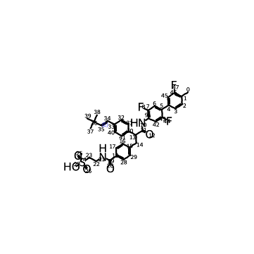 Cc1ccc(-c2cc(F)c(NC(=O)C(Cc3ccc(C(=O)NCCS(=O)(=O)O)cc3)c3ccc(/C=C/C(C)(C)C)cc3)cc2F)cc1F